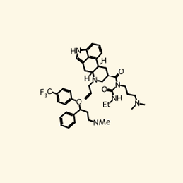 C=CCN1C[C@H](C(=O)N(CCCN(C)C)C(=O)NCC)C[C@@H]2c3cccc4[nH]cc(c34)C[C@H]21.CNCCC(Oc1ccc(C(F)(F)F)cc1)c1ccccc1